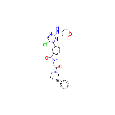 O=C(CN1Cc2ccc(-c3nc(NC4CCOCC4)ncc3Cl)cc2C1=O)N1CCC[C@@H](c2ccccc2)C1